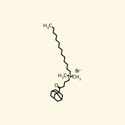 CCCCCCCCCCCCCC[N+](C)(C)CCCC(=O)C12CC3CC(CC(C3)C1)C2.[Br-]